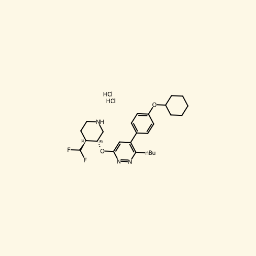 CCCCc1nnc(O[C@H]2CNCC[C@@H]2C(F)F)cc1-c1ccc(OC2CCCCC2)cc1.Cl.Cl